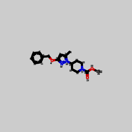 Cc1cc(OCc2ccccc2)nn1C1CCN(C(=O)OC(C)(C)C)CC1